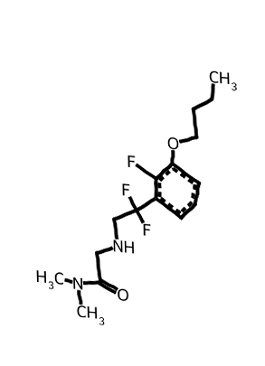 CCCCOc1cccc(C(F)(F)CNCC(=O)N(C)C)c1F